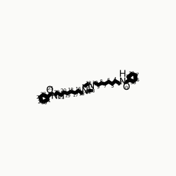 O=C(NCCCCCCCCN1CCN(CCCCCCCCNC(=O)c2ccccc2)CC1)c1ccccc1